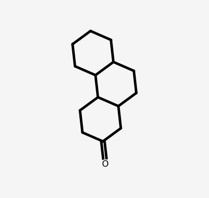 O=C1CCC2C(CCC3CCCCC32)C1